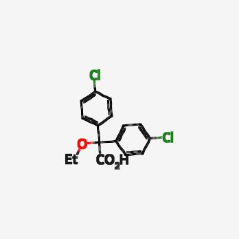 CCOC(C(=O)O)(c1ccc(Cl)cc1)c1ccc(Cl)cc1